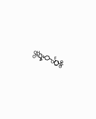 CS(=O)(=O)c1ccc(OCC2CCC(N3CCN(C(=O)O)CC34CC4)CC2)c(F)c1